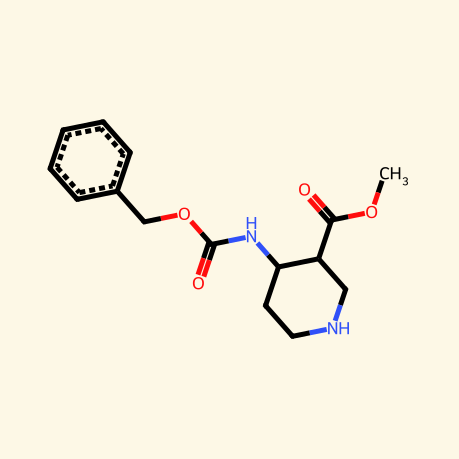 COC(=O)C1CNCCC1NC(=O)OCc1ccccc1